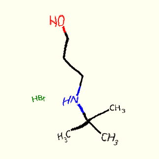 Br.CC(C)(C)NCCCO